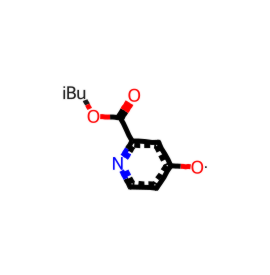 CCC(C)OC(=O)c1cc([O])ccn1